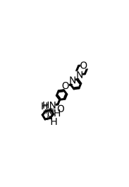 O=C(N[C@@H]1C[C@H]2CC[C@@H]1N2)c1ccc(Oc2cccc(N3CCOCC3)n2)cc1